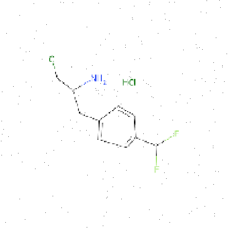 Cl.NC(CCl)Cc1ccc(C(F)F)cc1